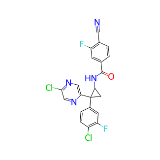 N#Cc1ccc(C(=O)NC2CC2(c2ccc(Cl)c(F)c2)c2cnc(Cl)cn2)cc1F